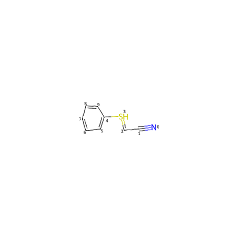 N#CC=[SH]c1ccccc1